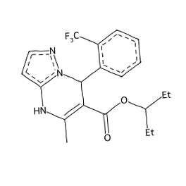 CCC(CC)OC(=O)C1=C(C)Nc2ccnn2C1c1ccccc1C(F)(F)F